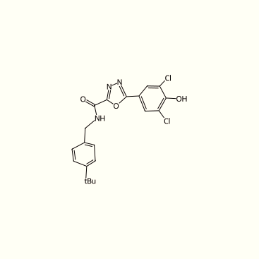 CC(C)(C)c1ccc(CNC(=O)c2nnc(-c3cc(Cl)c(O)c(Cl)c3)o2)cc1